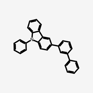 c1ccc(-c2cccc(-c3ccc4c(c3)c3ccccc3n4-c3ccccc3)c2)cc1